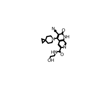 N#Cc1c(N2CCC3(CC2)CC3)c2cc(C(=O)NCCO)ncc2[nH]c1=O